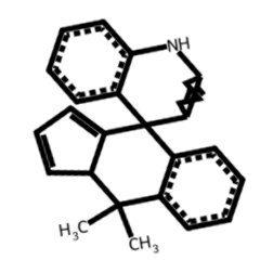 CC1(C)c2ccccc2C2(C3=CC=CC31)C1=C(C=CC1)Nc1ccccc12